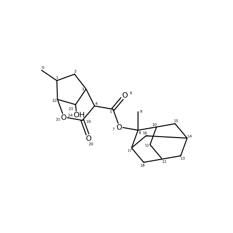 CC1CC2C(C(=O)OC3(C)C4CC5CC(C4)CC3C5)C(=O)OC1C2O